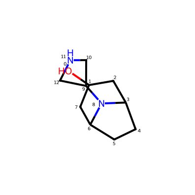 OC1CC2CCC(C1)N2C1CNC1